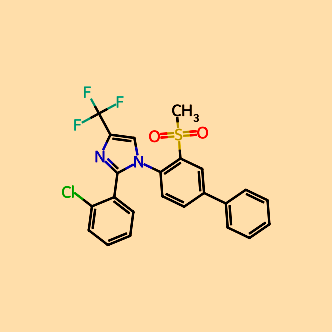 CS(=O)(=O)c1cc(-c2ccccc2)ccc1-n1cc(C(F)(F)F)nc1-c1ccccc1Cl